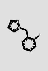 Fc1ccccc1Cn1c[c]cn1